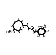 CCCC1CCCCC(CCOCc2cccc(F)c2)CC1